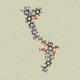 Cc1ncsc1-c1ccc([C@H](C)NC(=O)[C@@H]2C[C@@H](O)CN2C(=O)C(c2cc(OCCCCCC(=O)N3CCN(c4ncc(-c5cc(NC(=O)c6ccc(F)cc6C(F)(F)F)c(N6C[C@@H](C)N(C)[C@@H](C)C6)cc5F)cn4)CC3)no2)C(C)C)cc1